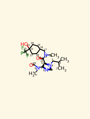 CC(C)Cn1cnc(N(C)C=O)c1C(=O)N(C)CC1CCC(O)(C(F)(F)F)CC1